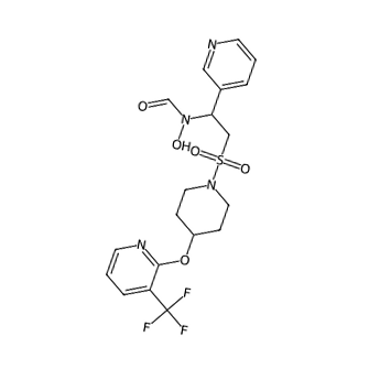 O=CN(O)C(CS(=O)(=O)N1CCC(Oc2ncccc2C(F)(F)F)CC1)c1cccnc1